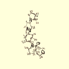 Cc1cc(N2CCC(N3CCC[C@@H]3C)C2)ccc1N1CCCC2(CCOCC2)C1=O